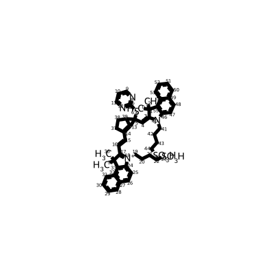 CC1(C)C(=CC2(Sc3ncccn3)C3=C(C=CC4=[N+](CCCCS(=O)(=O)O)c5ccc6ccccc6c5C4(C)C)CCC32)N(CCCCS(=O)(=O)O)c2ccc3ccccc3c21